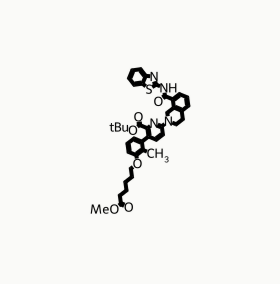 COC(=O)CCCCCOc1cccc(-c2ccc(N3CCc4cccc(C(=O)Nc5nc6ccccc6s5)c4C3)nc2C(=O)OC(C)(C)C)c1C